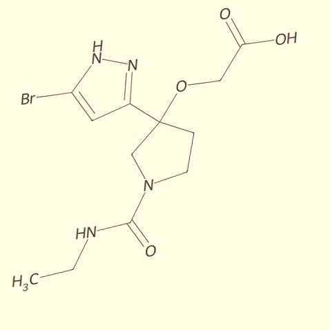 CCNC(=O)N1CCC(OCC(=O)O)(c2cc(Br)[nH]n2)C1